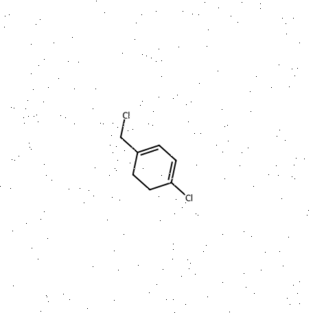 ClCC1=CC=C(Cl)CC1